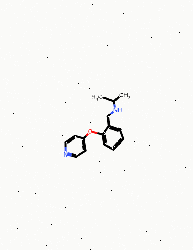 CC(C)NCc1ccccc1Oc1ccncc1